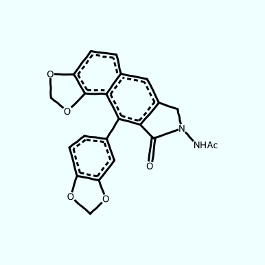 CC(=O)NN1Cc2cc3ccc4c(c3c(-c3ccc5c(c3)OCO5)c2C1=O)OCO4